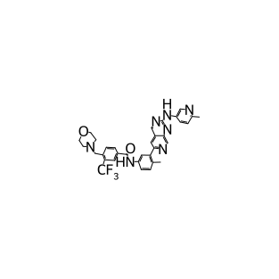 Cc1ccc(Nc2ncc3cc(-c4cc(NC(=O)c5ccc(CN6CCOCC6)c(C(F)(F)F)c5)ccc4C)ncc3n2)cn1